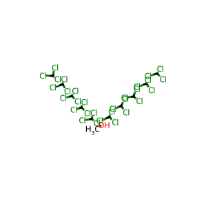 CO.ClC(Cl)Cl.ClC(Cl)Cl.ClC(Cl)Cl.ClC(Cl)Cl.ClC(Cl)Cl.ClC(Cl)Cl.ClC(Cl)Cl.ClC(Cl)Cl.ClC(Cl)Cl.ClC(Cl)Cl